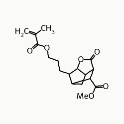 C=C(C)C(=O)OCCCC1C2CC3C1OC(=O)C3C2C(=O)OC